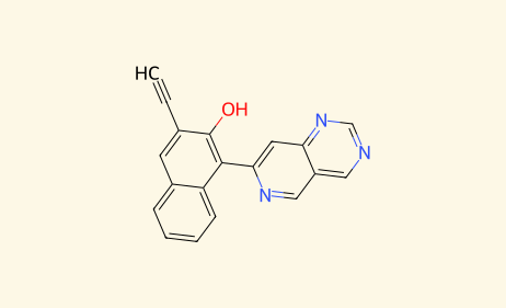 C#Cc1cc2ccccc2c(-c2cc3ncncc3cn2)c1O